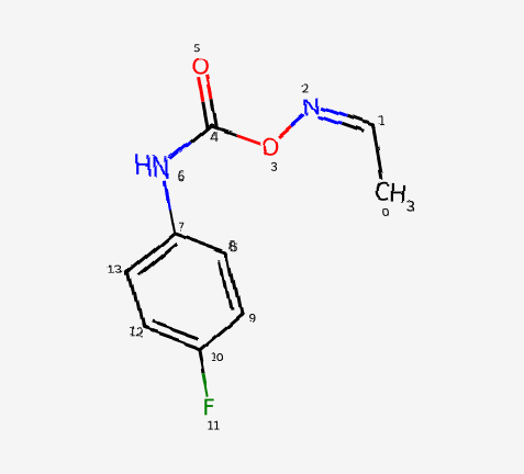 C/C=N\OC(=O)Nc1ccc(F)cc1